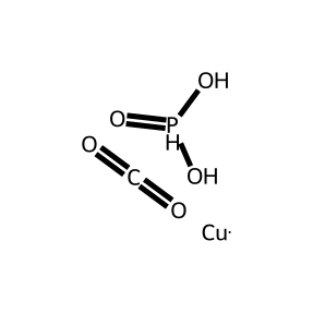 O=C=O.O=[PH](O)O.[Cu]